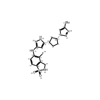 CC(C)(C)c1cn([C@@H]2CC[C@H](c3cc(Nc4ccc5c(c4F)CNS5(=O)=O)n[nH]3)C2)nn1